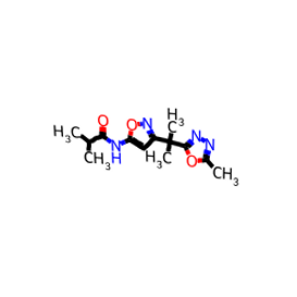 Cc1nnc(C(C)(C)c2cc(NC(=O)C(C)C)on2)o1